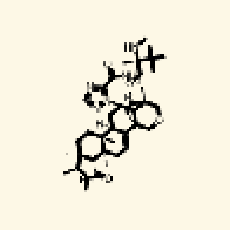 CN[C@@](C)(CO[C@H]1[C@H](n2ncnc2C(N)=O)C[C@@]23COC[C@]1(C)[C@@H]2CC[C@H]1C3=CC[C@@]2(C)[C@H](C(=O)O)[C@@](C)([C@H](C)C(C)C)CC[C@]12C)C(C)(C)C